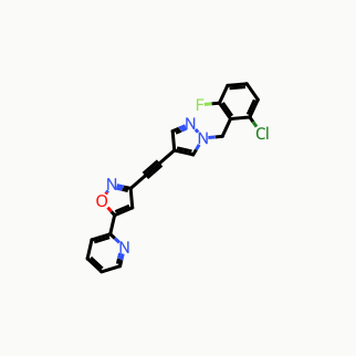 Fc1cccc(Cl)c1Cn1cc(C#Cc2cc(-c3ccccn3)on2)cn1